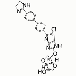 O[C@@H]1CO[C@H]2[C@@H]1OC[C@H]2Oc1nc2nc(-c3ccc(-c4ccc(C5=NCCN5)cc4)cc3)c(Cl)cc2[nH]1